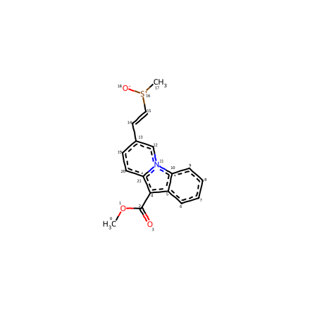 COC(=O)c1c2ccccc2n2cc(C=C[S+](C)[O-])ccc12